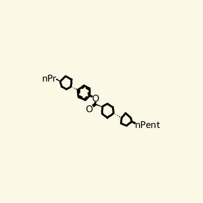 CCCCCC1CCC([C@H]2CC[C@H](C(=O)Oc3ccc([C@H]4CC[C@H](CCC)CC4)cc3)CC2)CC1